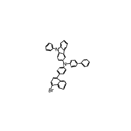 Brc1ccc(-c2ccc(N(c3ccc(-c4ccccc4)cc3)c3ccc4c(c3)c3ccccc3n4-c3ccccc3)cc2)c2ccccc12